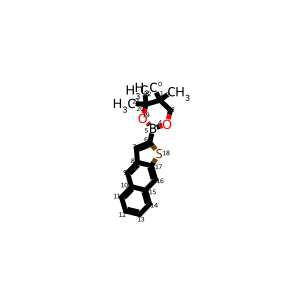 CC1(C)COB(c2cc3cc4ccccc4cc3s2)OC1(C)C